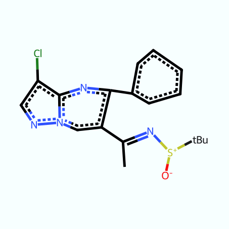 CC(=N[S+]([O-])C(C)(C)C)c1cn2ncc(Cl)c2nc1-c1ccccc1